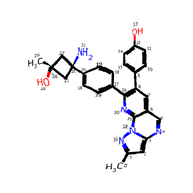 Cc1cc2ncc3cc(-c4ccc(O)cc4)c(-c4ccc([C@]5(N)C[C@](C)(O)C5)cc4)nc3n2n1